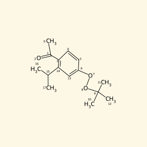 CC(=O)c1ccc(OOC(C)(C)C)cc1C(C)C